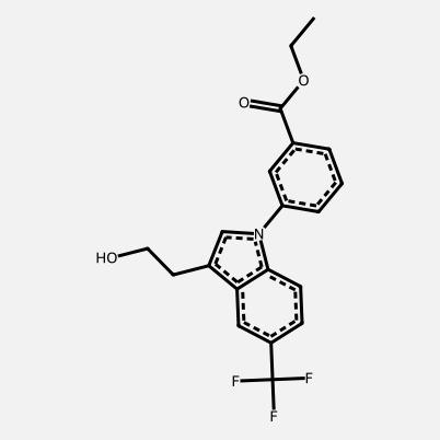 CCOC(=O)c1cccc(-n2cc(CCO)c3cc(C(F)(F)F)ccc32)c1